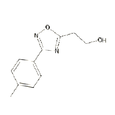 Cc1ccc(-c2noc(CCO)n2)cc1